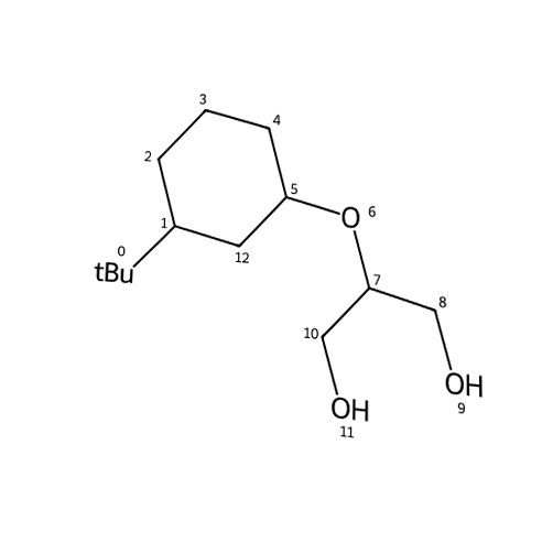 CC(C)(C)C1CCCC(OC(CO)CO)C1